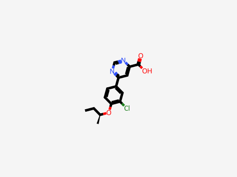 CC[C@H](C)Oc1ccc(-c2cc(C(=O)O)ncn2)cc1Cl